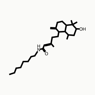 C=C1CCC2C(C(C)CC(O)C2(C)C)C1CC/C(C)=C/C(=O)NCCCCCCCC